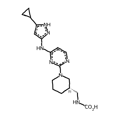 O=C(O)NC[C@@H]1CCCN(c2nccc(Nc3cc(C4CC4)[nH]n3)n2)C1